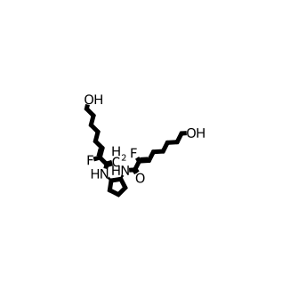 C=C(N[C@@H]1CCC[C@@H]1NC(=O)/C(F)=C/CCCCCO)/C(F)=C/CCCCCO